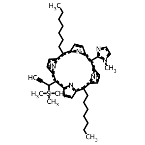 C#CC(c1c2nc(c(CCCCCCC)c3ccc([nH]3)c(-c3nccn3C)c3nc(c(CCCCCCC)c4ccc1[nH]4)C=C3)C=C2)[Si](C)(C)C